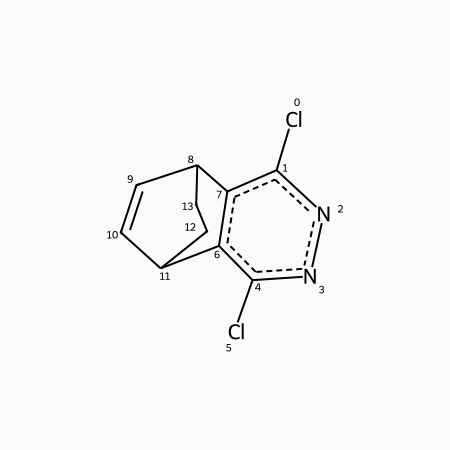 Clc1nnc(Cl)c2c1C1C=CC2CC1